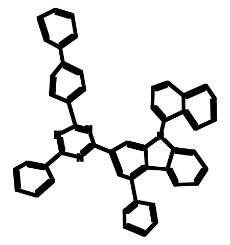 c1ccc(-c2ccc(-c3nc(-c4ccccc4)nc(-c4cc(-c5ccccc5)c5c6ccccc6n(-c6cccc7ccccc67)c5c4)n3)cc2)cc1